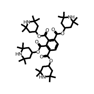 CC1(C)CC(OC(=O)c2ccc(C(=O)OC3CC(C)(C)NC(C)(C)C3)c(C(=O)OC3CC(C)(C)NC(C)(C)C3)c2C(=O)OC2CC(C)(C)NC(C)(C)C2)CC(C)(C)N1